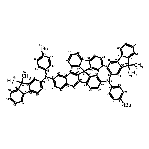 CC(C)(C)c1ccc(N(c2ccc3c(c2)C(C)(C)c2ccccc2-3)c2ccc3c(c2)C2(c4ccccc4-c4ccccc42)c2cc4cc(N(c5ccc(C(C)(C)C)cc5)c5ccc6c(c5)C(C)(C)c5ccccc5-6)ccc4cc2-3)cc1